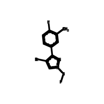 Cc1cc(-c2nn(SF)cc2Br)ccc1F